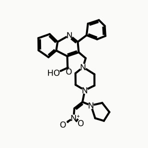 O=C(O)c1c(CN2CCN(C(=C[N+](=O)[O-])N3CCCC3)CC2)c(-c2ccccc2)nc2ccccc12